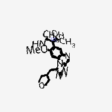 COc1cc2c(cc1/C(C(C)=N)=C(\C)O)ncc1nnc(CC3CCOCC3)n12